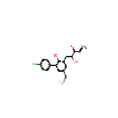 C=CC(=O)C(O)Cc1cc(CN)cc(-c2ccc(Cl)cc2)c1O